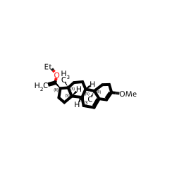 C=C(OCC)[C@@H]1CC[C@H]2[C@@H]3CC=C4C=C(OC)CC[C@]4(C)[C@H]3CC[C@]12C